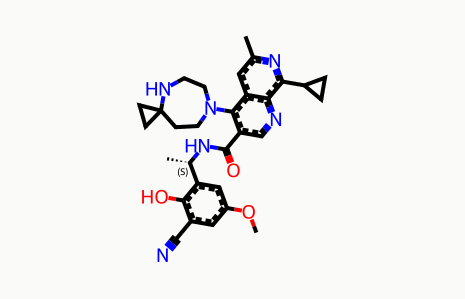 COc1cc(C#N)c(O)c([C@H](C)NC(=O)c2cnc3c(C4CC4)nc(C)cc3c2N2CCNC3(CC2)CC3)c1